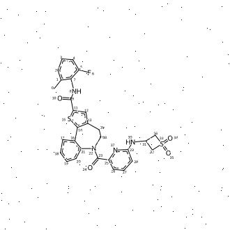 Cc1cccc(F)c1NC(=O)c1cc2c(s1)-c1ccccc1N(C(=O)c1cccc(NC3CS(=O)(=O)C3)n1)CC2